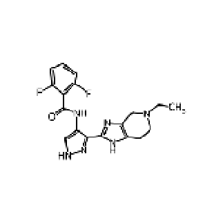 CCN1CCc2[nH]c(-c3n[nH]cc3NC(=O)c3c(F)cccc3F)nc2C1